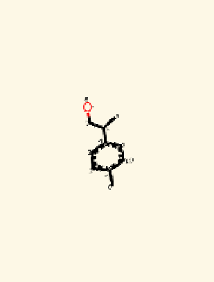 Cc1ccc(C(C)C[O])cc1